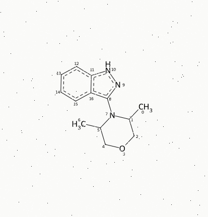 CC1COCC(C)N1c1n[nH]c2ccccc12